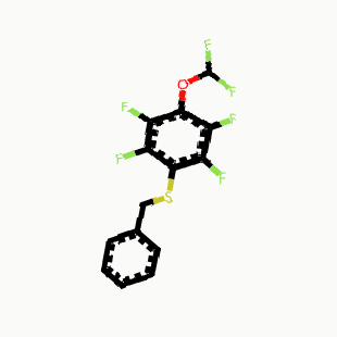 Fc1c(F)c(SCc2ccccc2)c(F)c(F)c1OC(F)F